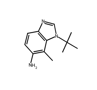 Cc1c(N)ccc2ncn(C(C)(C)C)c12